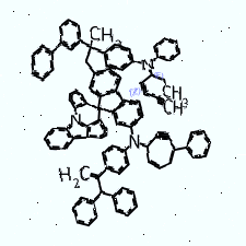 C#C/C=C\C(=C/C)N(c1ccccc1)c1ccc(C(C)(Cc2ccc3c(c2)C2(c4cc(N(c5ccc(C(=C)C(c6ccccc6)c6ccccc6)cc5)C5C#CC(c6ccccc6)=CC=C5)ccc4-3)c3ccccc3-n3c4ccccc4c4cccc2c43)c2cccc(-c3ccccc3)c2)cc1